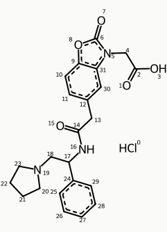 Cl.O=C(O)Cn1c(=O)oc2ccc(CC(=O)NC(CN3CCCC3)c3ccccc3)cc21